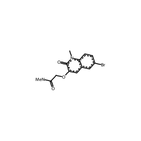 CNC(=O)COc1cc2cc(Br)ccc2n(C)c1=O